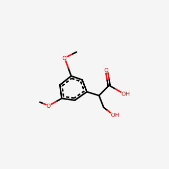 COc1cc(OC)cc(C(CO)C(=O)O)c1